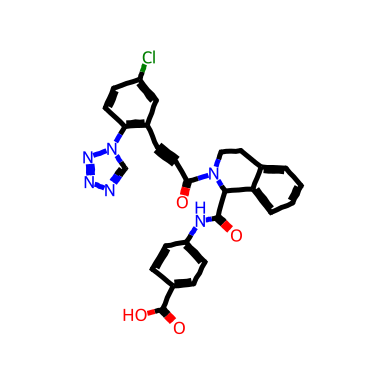 O=C(O)c1ccc(NC(=O)C2c3ccccc3CCN2C(=O)C#Cc2cc(Cl)ccc2-n2cnnn2)cc1